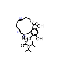 CC(C)N(C(=O)O/N=C1/C=C/CC/C=C/CCOC(=O)c2c(O)cc(O)c(Cl)c2C1)C(C)C